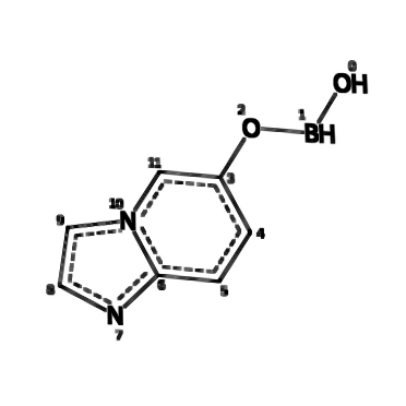 OBOc1ccc2nccn2c1